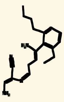 CCCCc1cccc(CC)c1/C(N)=C/C/C=N\C(C#N)=C/N